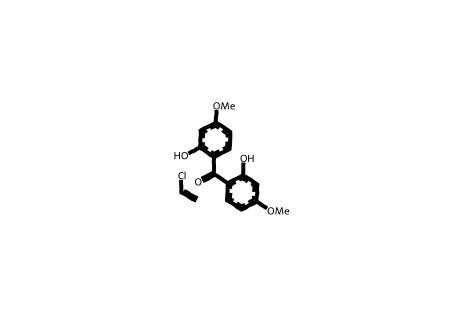 C=CCl.COc1ccc(C(=O)c2ccc(OC)cc2O)c(O)c1